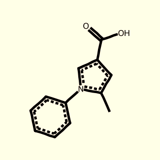 Cc1cc(C(=O)O)cn1-c1ccccc1